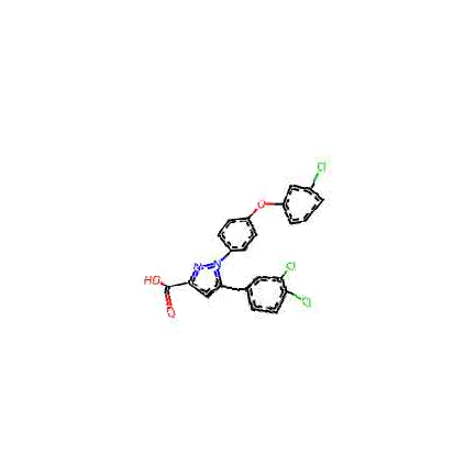 O=C(O)c1cc(-c2ccc(Cl)c(Cl)c2)n(-c2ccc(Oc3cccc(Cl)c3)cc2)n1